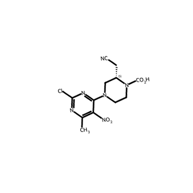 Cc1nc(Cl)nc(N2CCN(C(=O)O)[C@@H](CC#N)C2)c1[N+](=O)[O-]